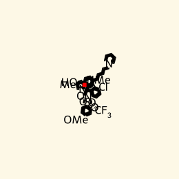 CNC(=O)[C@@H]1C[C@@H](O)C[N+]1(C)C1(c2cc(CCCCCN3CCCCC3)ccc2OC)C(=O)N(S(=O)(=O)c2ccc(OC)cc2OC(F)(F)F)c2ccc(Cl)cc21